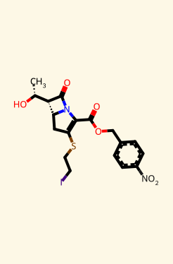 C[C@@H](O)[C@@H]1C(=O)N2C(C(=O)OCc3ccc([N+](=O)[O-])cc3)=C(SCCI)CC12